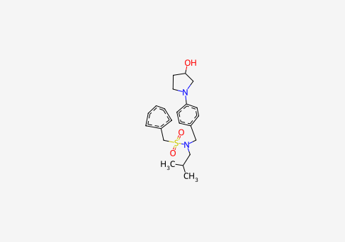 CC(C)CN(Cc1ccc(N2CCC(O)C2)cc1)S(=O)(=O)Cc1ccccc1